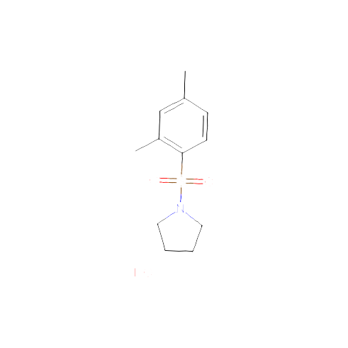 Cc1ccc(S(=O)(=O)N2CC[C@H](O)C2)c(C)c1